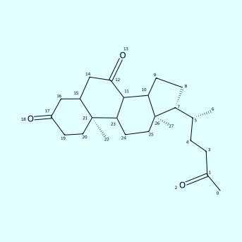 CC(=O)CC[C@@H](C)[C@H]1CCC2C3C(=O)CC4CC(=O)CC[C@]4(C)C3CC[C@@]21C